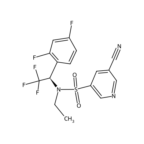 CCN([C@H](c1ccc(F)cc1F)C(F)(F)F)S(=O)(=O)c1cncc(C#N)c1